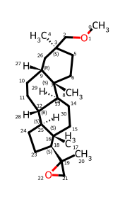 COC[C@@]1(C)CC[C@@]2(C)[C@H](CC[C@@H]3[C@@H]2CC[C@]2(C)[C@@H](C4(C)CO4)CC[C@@H]32)C1